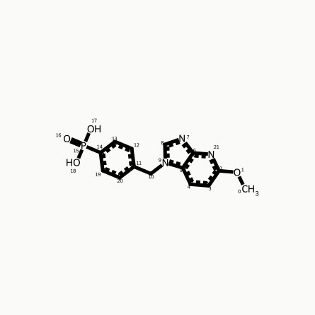 COc1ccc2c(ncn2Cc2ccc(P(=O)(O)O)cc2)n1